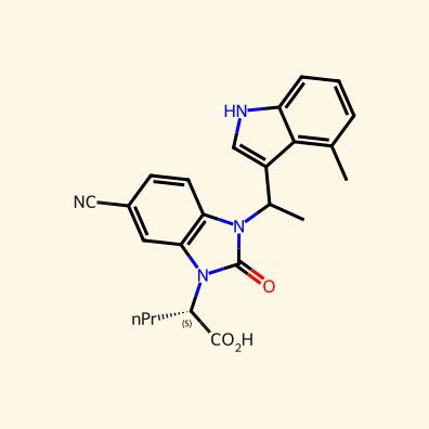 CCC[C@@H](C(=O)O)n1c(=O)n(C(C)c2c[nH]c3cccc(C)c23)c2ccc(C#N)cc21